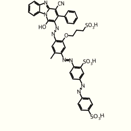 Cc1cc(N=Nc2c(-c3ccccc3)c(C#N)c3nc4ccccc4n3c2O)c(OCCCS(=O)(=O)O)cc1N=Nc1ccc(N=Nc2ccc(S(=O)(=O)O)cc2)cc1S(=O)(=O)O